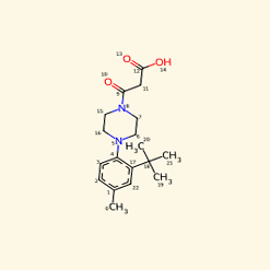 Cc1ccc(N2CCN(C(=O)CC(=O)O)CC2)c(C(C)(C)C)c1